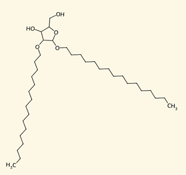 CCCCCCCCCCCCCCCCOC1OC(CO)C(O)C1OCCCCCCCCCCCCCCCC